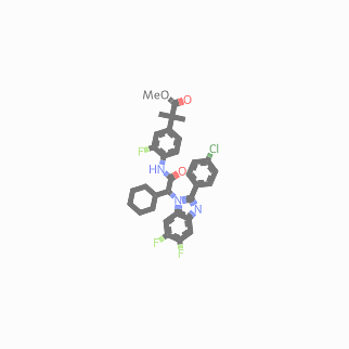 COC(=O)C(C)(C)c1ccc(NC(=O)C(C2CCCCC2)n2c(-c3ccc(Cl)cc3)nc3cc(F)c(F)cc32)c(F)c1